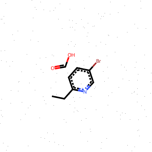 CCc1ccc(Br)cn1.O=CO